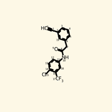 C#Cc1cccc(CC(=O)Nc2ccc(Cl)c(C(F)(F)F)c2)c1